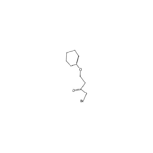 O=C(CBr)CCOC1CCCCC1